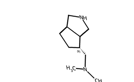 CN(C)C[C@@H]1CCC2CNCC21